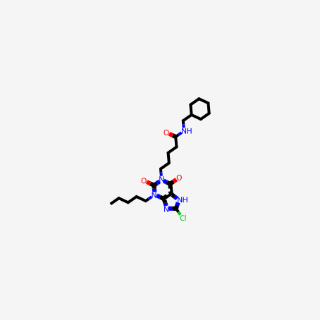 CCCCCn1c(=O)n(CCCCC(=O)NCC2CCCCC2)c(=O)c2[nH]c(Cl)nc21